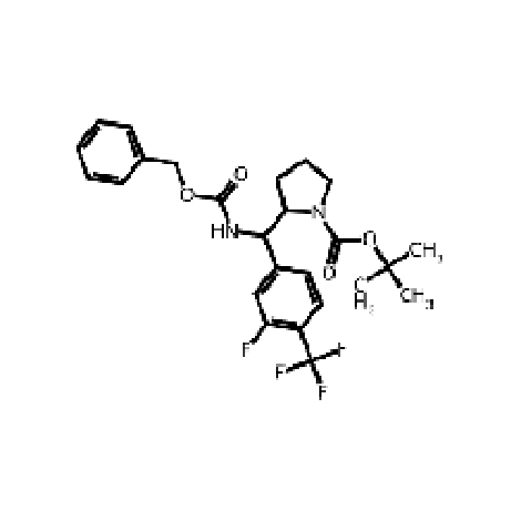 CC(C)(C)OC(=O)N1CCCC1C(NC(=O)OCc1ccccc1)c1ccc(C(F)(F)F)c(F)c1